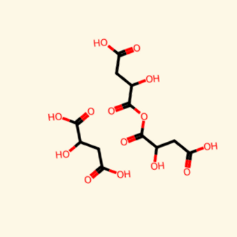 O=C(O)CC(O)C(=O)O.O=C(O)CC(O)C(=O)OC(=O)C(O)CC(=O)O